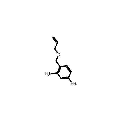 C=CCOCc1ccc(N)cc1N